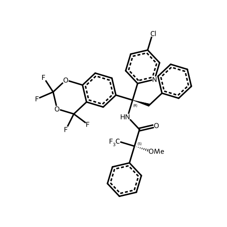 CO[C@](C(=O)N[C@](Cc1ccccc1)(c1ccc2c(c1)C(F)(F)OC(F)(F)O2)c1ccc(Cl)cn1)(c1ccccc1)C(F)(F)F